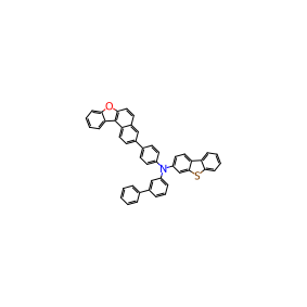 c1ccc(-c2cccc(N(c3ccc(-c4ccc5c(ccc6oc7ccccc7c65)c4)cc3)c3ccc4c(c3)sc3ccccc34)c2)cc1